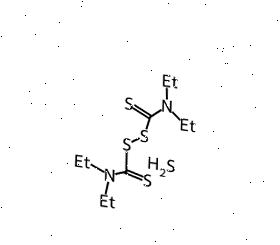 CCN(CC)C(=S)SSC(=S)N(CC)CC.S